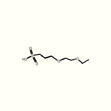 CCOCCOCCCS(=O)(=O)O